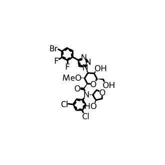 CO[C@@H]1[C@@H](n2cc(-c3ccc(Br)c(F)c3F)nn2)[C@@H](O)[C@@H](CO)O[C@H]1C(=O)N(c1cc(Cl)cc(Cl)c1)[C@@H]1COC[C@H]1O